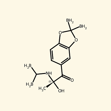 BC(B)N[C@@](C)(O)C(=O)c1ccc2c(c1)OC(B)(B)O2